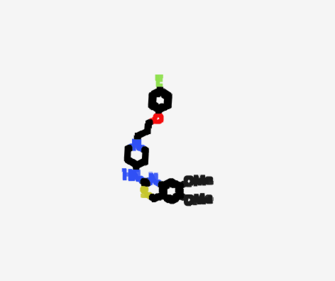 COc1cc2c(cc1OC)N=C(NC1CCN(CCCOc3ccc(F)cc3)CC1)SC2